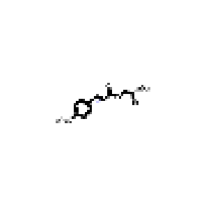 CCCC[C@H](CC)COC(=O)/C=C/c1ccc(OC)cc1